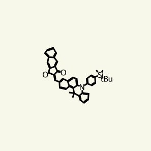 CC1(C)c2ccccc2N(c2ccc([Si](C)(C)C(C)(C)C)cc2)c2ccc3cc(C=C4C(=O)c5cc6ccccc6cc5C4=O)ccc3c21